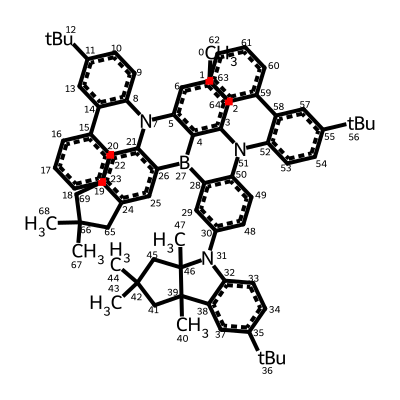 Cc1cc2c3c(c1)N(c1ccc(C(C)(C)C)cc1-c1ccccc1)c1cc4c(cc1B3c1cc(N3c5ccc(C(C)(C)C)cc5C5(C)CC(C)(C)CC35C)ccc1N2c1ccc(C(C)(C)C)cc1-c1ccccc1)CC(C)(C)C4